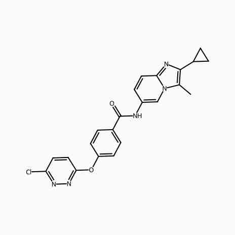 Cc1c(C2CC2)nc2ccc(NC(=O)c3ccc(Oc4ccc(Cl)nn4)cc3)cn12